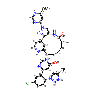 COc1cc(-n2cc3c(n2)-c2ccnc(c2)[C@@H](n2cnc(-c4cc(Cl)ccc4-n4cc(C(F)(F)F)nn4)cc2=O)CCC[C@@H](C)C(=O)N3)ncn1